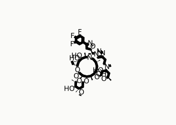 CC[C@H]1OC(=O)[C@H](C)[C@@H](O[C@H]2C[C@@](C)(OC)[C@@H](O)[C@H](C)O2)[C@H](C)[C@@H](O[C@@H]2O[C@H](C)C[C@H](N(C)CCc3cn(C[C@H]4CC(c5cc(F)c(F)c(F)c5)=NO4)nn3)[C@H]2O)[C@](C)(O)C[C@@H](C)CN(C)[C@H](C)[C@@H](O)[C@]1(C)O